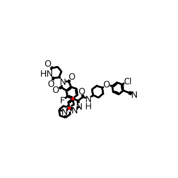 N#Cc1ccc(OC2CCC(NC(=O)c3ccc(N4C5CC4CN(Cc4ccc6c(c4F)C(=O)N(C4CCC(=O)NC4=O)C6=O)C5)nn3)CC2)cc1Cl